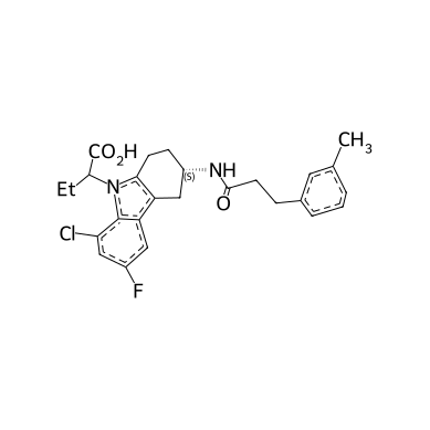 CCC(C(=O)O)n1c2c(c3cc(F)cc(Cl)c31)C[C@@H](NC(=O)CCc1cccc(C)c1)CC2